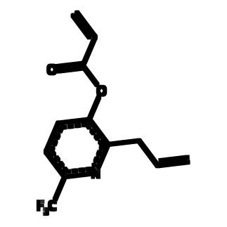 C=CCc1nc(C(F)(F)F)ccc1OC(=O)C=C